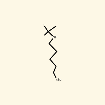 CC(C)(C)CCCCCNC(C)(C)I